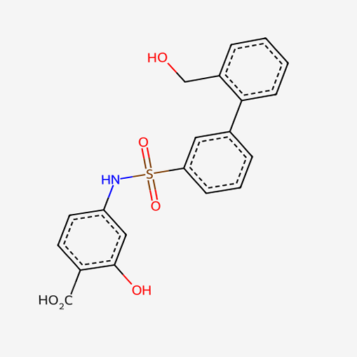 O=C(O)c1ccc(NS(=O)(=O)c2cccc(-c3ccccc3CO)c2)cc1O